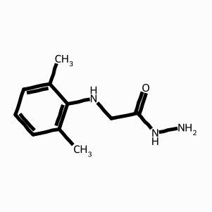 Cc1cccc(C)c1NCC(=O)NN